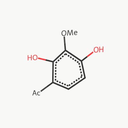 COc1c(O)ccc(C(C)=O)c1O